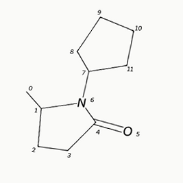 CC1CCC(=O)N1C1CCCC1